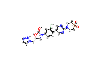 O=C1O[C@@H](Cn2ccnn2)CN1c1ccc(-c2cnc(N3CCS(=O)(=O)CC3)nc2)c(F)c1